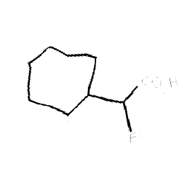 CCC(C(=O)O)C1CC[CH]CC1